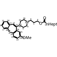 CCCCCCCC(=O)OCCCN1CCN(C2=Cc3ccccc3Sc3ccc(OC)cc32)CC1